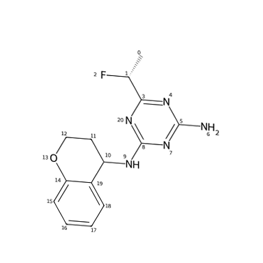 C[C@@H](F)c1nc(N)nc(NC2CCOc3ccccc32)n1